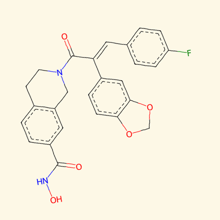 O=C(NO)c1ccc2c(c1)CN(C(=O)/C(=C/c1ccc(F)cc1)c1ccc3c(c1)OCO3)CC2